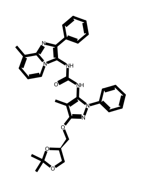 Cc1c(OC[C@H]2COC(C)(C)O2)nn(-c2ccccc2)c1NC(=O)Nc1c(-c2ccccc2)nc2c(C)cccn12